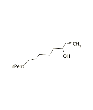 C=CC(O)CCCCCCCCCC